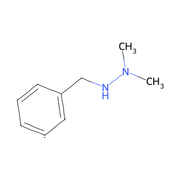 CN(C)NCc1c[c]ccc1